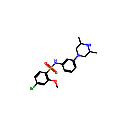 COc1cc(Br)ccc1S(=O)(=O)Nc1cccc(N2CC(C)NC(C)C2)c1